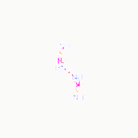 NCCOCCOCCN1C(=O)c2cccc3c(NCCOCCOCCNc4ccc5c6c(cccc46)C(=O)N(CCOCCOCCN)C5=O)ccc(c23)C1=O